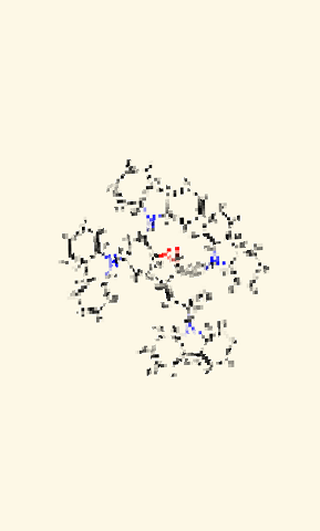 c1ccc2c3ccccc3n(-c3cc(-n4c5ccccc5c5ccccc54)cc4c3oc3c(-n5c6ccccc6c6ccccc65)cc(-n5c6ccccc6c6ccccc65)cc34)c2c#1